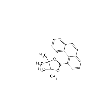 CC1(C)OB(c2cccc3ccc4cccnc4c23)OC1(C)C